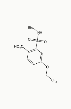 CC(C)(C)NS(=O)(=O)c1nc(OCC(F)(F)F)ccc1C(=O)O